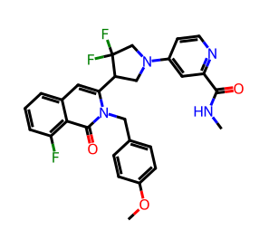 CNC(=O)c1cc(N2CC(c3cc4cccc(F)c4c(=O)n3Cc3ccc(OC)cc3)C(F)(F)C2)ccn1